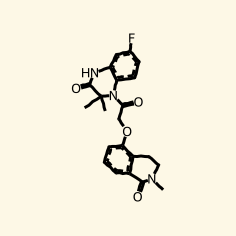 CN1CCc2c(OCC(=O)N3c4ccc(F)cc4NC(=O)C3(C)C)cccc2C1=O